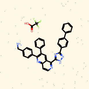 NCc1ccc(-c2nc3ccnc(-c4nc(-c5ccc(-c6ccccc6)cc5)n[nH]4)c3cc2-c2ccccc2)cc1.O=C(O)C(F)(F)F